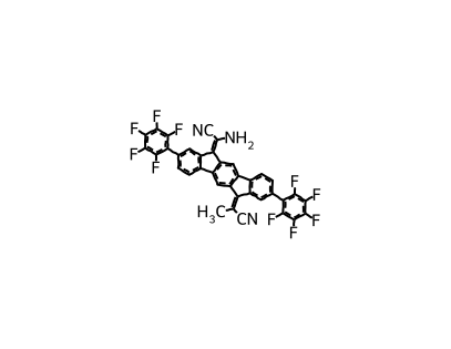 C/C(C#N)=C1/c2cc(-c3c(F)c(F)c(F)c(F)c3F)ccc2-c2cc3c(cc21)-c1ccc(-c2c(F)c(F)c(F)c(F)c2F)cc1/C3=C(/N)C#N